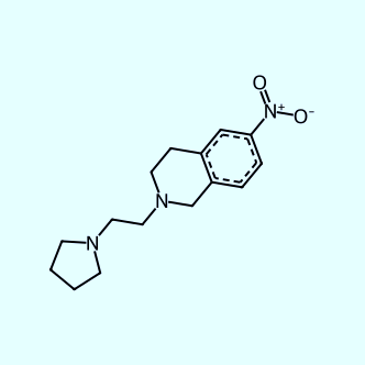 O=[N+]([O-])c1ccc2c(c1)CCN(CCN1CCCC1)C2